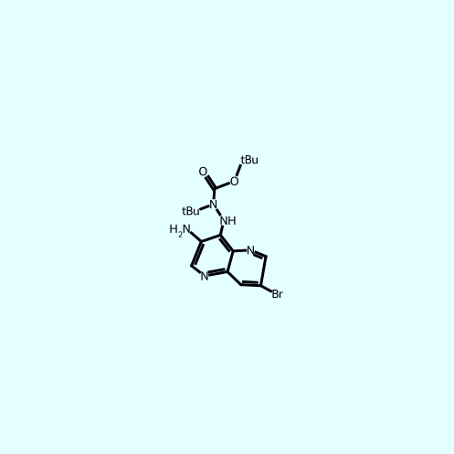 CC(C)(C)OC(=O)N(Nc1c(N)cnc2cc(Br)cnc12)C(C)(C)C